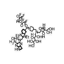 CCn1c(CN(C=O)c2nc3cc[nH]c3nc2N)[n+](CC)c2cc(C(=O)N3CCC(CN(C[C@H](O)[C@@H](O)[C@H](O)[C@H](O)CO)C[C@H](O)[C@@H](O)[C@H](O)[C@H](O)CO)CC3)ccc21.O=C(O)C(F)(F)F.O=C([O-])C(F)(F)F